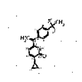 C=C(c1ccc(C(C)(F)F)cc1)c1ccc(C2CC2)c(=O)[nH]1